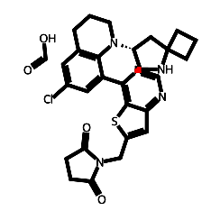 O=C1CCC(=O)N1Cc1cc2ncnc(-c3cc(Cl)cc4c3N([C@H]3CNC5(CCC5)C3)CCC4)c2s1.O=CO